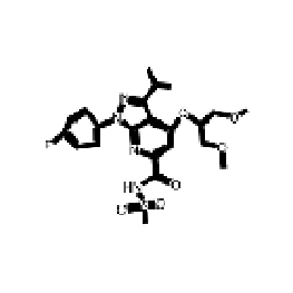 COCC(COC)Oc1cc(C(=O)NS(C)(=O)=O)nc2c1c(C(C)C)nn2-c1ccc(F)cc1